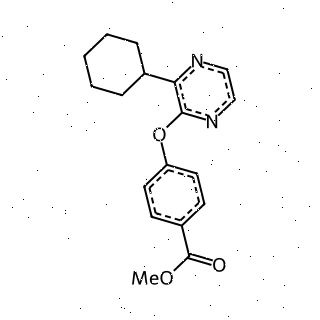 COC(=O)c1ccc(Oc2nccnc2C2CCCCC2)cc1